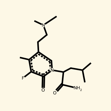 Cc1c(CCN(C)C)cn(C(CC(C)C)C(N)=O)c(=O)c1F